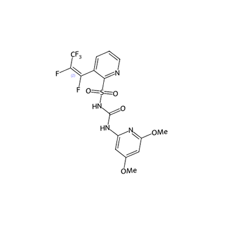 COc1cc(NC(=O)NS(=O)(=O)c2ncccc2/C(F)=C(/F)C(F)(F)F)nc(OC)c1